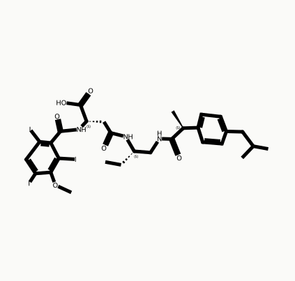 CC[C@@H](CNC(=O)[C@@H](C)c1ccc(CC(C)C)cc1)NC(=O)C[C@H](NC(=O)c1c(I)cc(I)c(OC)c1I)C(=O)O